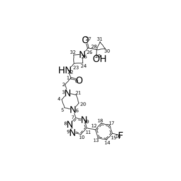 O=C(CN1CCN(c2nncc(-c3ccc(F)cc3)n2)CC1)NC1CN(C(=O)C2(O)CC2)C1